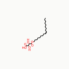 CCCCCCCC/C=C\CCCCCCCCOC(=O)C(O)C(O)C(=O)O